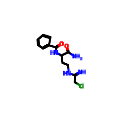 N=C(CCl)NCCC(NC(=O)c1ccccc1)C(N)=O